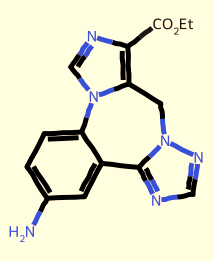 CCOC(=O)c1ncn2c1Cn1ncnc1-c1cc(N)ccc1-2